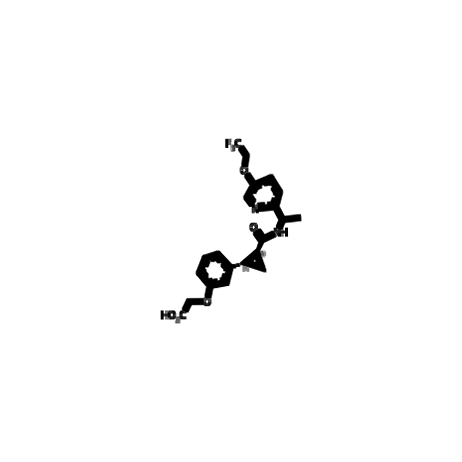 CC(NC(=O)[C@H]1C[C@@H]1c1cccc(OCC(=O)O)c1)c1ccc(OCC(F)(F)F)cn1